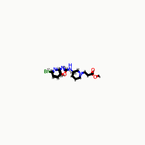 COC(=O)CCN1CCC[C@@H](Nc2nc3nc(Br)ccc3o2)C1